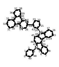 c1ccc(-n2c3ccccc3c3c4c5ccccc5n(-c5cccc(-c6cnc7c8ccccc8c8ccccc8c7n6)c5)c4ccc32)cc1